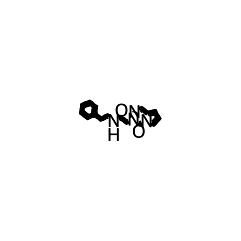 O=C(Cn1ncc2cccn2c1=O)NCCc1ccccc1